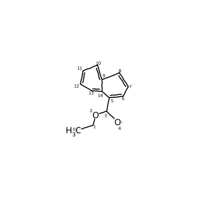 CCOC([O])c1cccc2ccccc12